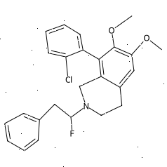 COc1cc2c(c(-c3ccccc3Cl)c1OC)CN(C(F)Cc1ccccc1)CC2